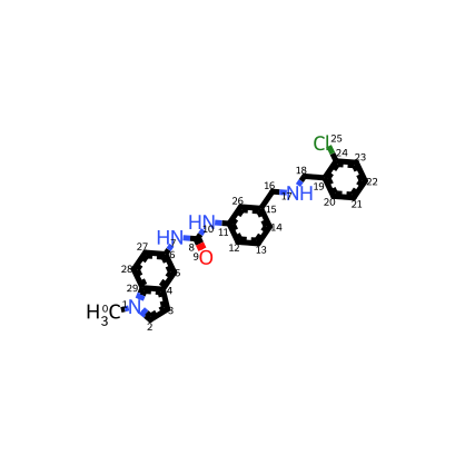 Cn1ccc2cc(NC(=O)Nc3cccc(CNCc4ccccc4Cl)c3)ccc21